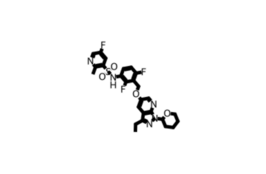 CCc1nn(C2CCCCO2)c2ncc(OCc3c(F)ccc(NS(=O)(=O)c4cc(F)cnc4C)c3F)cc12